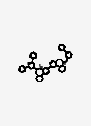 C[C@@H]1c2cc(-c3ccc4c(c3)C3=C(C=CCC3)[C@H](Cc3cccc(-c5ccccc5)c3)CC4)ccc2C2=C(CCCC2)CC1C1=CC(c2ccccc2)=NC(c2ccccc2)C1